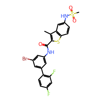 Cc1c(C(=O)Nc2cc(Br)cc(-c3ccc(F)cc3F)c2)sc2ccc(NS(C)(=O)=O)cc12